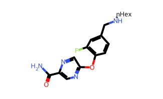 CCCCCCNCc1ccc(Oc2cnc(C(N)=O)cn2)c(F)c1